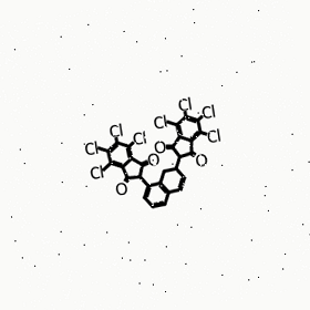 O=C1c2c(Cl)c(Cl)c(Cl)c(Cl)c2C(=O)C1c1cccc2c1CC(C1C(=O)c3c(Cl)c(Cl)c(Cl)c(Cl)c3C1=O)C=C2